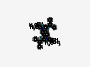 C[Si](C)(C)c1ccc(N(c2cc(F)c(-c3cc(-c4ccccc4)cc(-c4ccccc4)c3)cc2F)c2ccc3ccc4c(N(c5ccc([Si](C)(C)C)cc5)c5cc(F)c(-c6cc(-c7ccccc7)cc(-c7ccccc7)c6)cc5F)ccc5ccc2c3c54)cc1